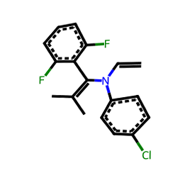 C=CN(C(=C(C)C)c1c(F)cccc1F)c1ccc(Cl)cc1